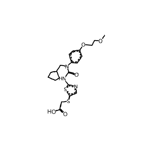 COCCOc1ccc(N(CC2CCCC2)C(=O)Nc2ncc(SCC(=O)O)s2)cc1